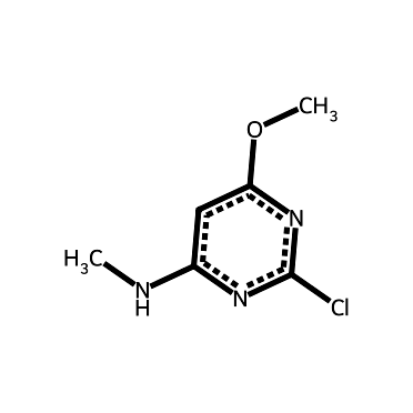 CNc1cc(OC)nc(Cl)n1